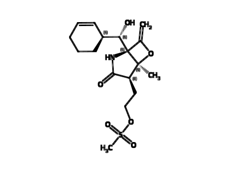 C=C1O[C@@]2(C)[C@@H](CCOS(C)(=O)=O)C(=O)N[C@@]12[C@@H](O)[C@@H]1C=CCCC1